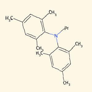 Cc1cc(C)c(N(c2c(C)cc(C)cc2C)C(C)C)c(C)c1